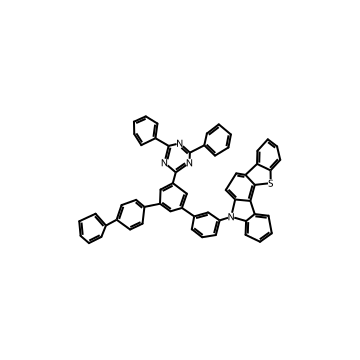 c1ccc(-c2ccc(-c3cc(-c4cccc(-n5c6ccccc6c6c7sc8ccccc8c7ccc65)c4)cc(-c4nc(-c5ccccc5)nc(-c5ccccc5)n4)c3)cc2)cc1